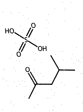 CC(=O)CC(C)C.O=S(=O)(O)O